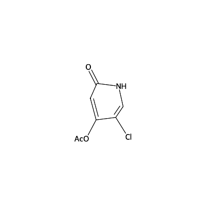 CC(=O)Oc1cc(=O)[nH]cc1Cl